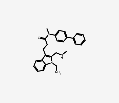 CNCc1c(CCC(=O)N(C)c2ccc(-c3ccccc3)cc2)c2ccccc2n1CN